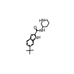 CC(C)(C)c1ccc2cc(C(=O)NC3CCCNC3)[nH]c2c1